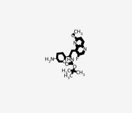 COc1ccc2ncc(F)c(CC(NC(=O)OC(C)(C)C)[C@@H]3CC[C@@H](N)CO3)c2n1